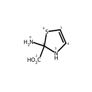 NC1(C(=O)O)NC=CS1